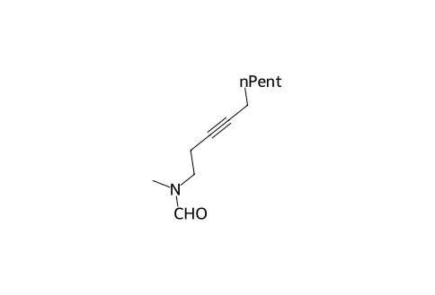 [CH2]CCCCCC#CCCN(C)C=O